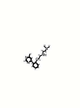 Cc1cc(-c2ccccc2OCCNCCN(C)C)ncn1